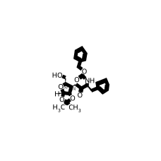 CC1(C)OC2[C@H](O[C@H](CO)[C@@H]2CC(=O)[C@H](Cc2ccccc2)NC(=O)OCc2ccccc2)O1